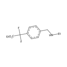 CCNCc1ccc(C(F)(F)C(=O)OCC)cc1